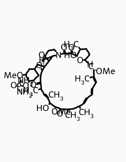 COC1CC(C[C@@H]2C3CC(=O)C(C)/C=C(\C)C(O)[C@@H](OC)C(=O)C(C)CC(C)/C=C/C=C/C=C(\C)[C@@H](OC)C[C@@H]4CCC(C)C(O)(O4)C(=O)C(=O)N4CCCC2C4C(=O)O3)CC[C@H]1OP(N)(N)=O